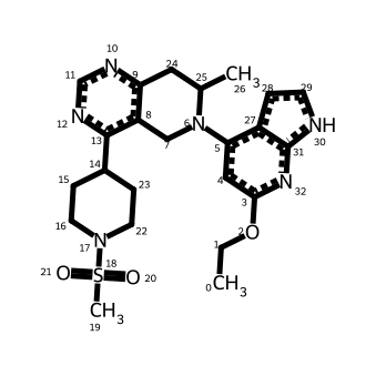 CCOc1cc(N2Cc3c(ncnc3C3CCN(S(C)(=O)=O)CC3)CC2C)c2cc[nH]c2n1